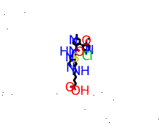 COc1cnc(Cl)cc1-c1cc(C)ncc1C(=O)Nc1nc2cnc(NCCCCC(=O)O)cc2s1